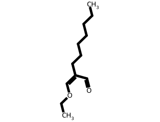 CCCCCCCC(C=O)=COCC